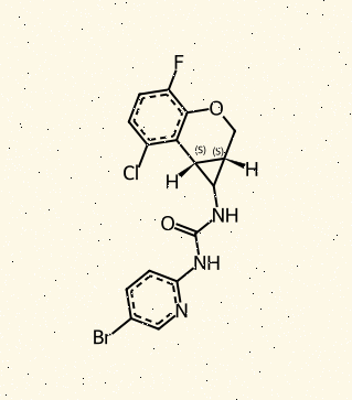 O=C(Nc1ccc(Br)cn1)NC1[C@H]2COc3c(F)ccc(Cl)c3[C@@H]12